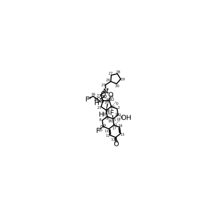 C[C@]12C[C@H](O)[C@@]3(F)[C@@H](C[C@H](F)C4=CC(=O)C=C[C@@]43C)[C@]1(C)C[C@H]1CN(CC3CCCC3)O[C@]12C(=O)SCF